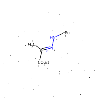 CCOC(=O)/C(C)=N/NC(C)(C)C